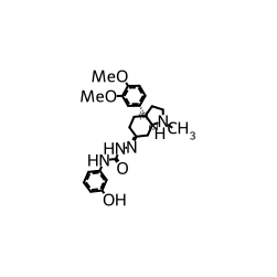 COc1ccc([C@@]23CCC(=NNC(=O)Nc4cccc(O)c4)C[C@@H]2N(C)CC3)cc1OC